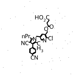 CCCc1c(C#N)c(-c2ccc(C#N)cc2)c(C)n1Cc1cnc(Cl)c(COC(=O)CCC(=O)O)c1